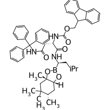 CC(C)C[C@H](NC(=O)[C@H](CC(=O)NC(c1ccccc1)(c1ccccc1)c1ccccc1)NC(=O)OCC1c2ccccc2-c2ccccc21)B1O[C@@H]2C[C@H](C)C(C)(C)C[C@]2(C)O1